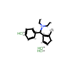 CCN(CC)C(C1=[C]([Ti])CC=C1)c1ccccc1.Cl.Cl.Cl